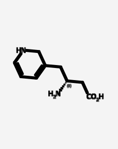 N[C@@H](CC(=O)O)CC1=CC=CNC1